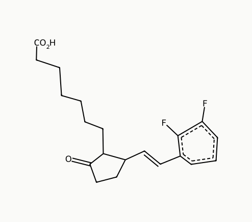 O=C(O)CCCCCCC1C(=O)CCC1/C=C/c1cccc(F)c1F